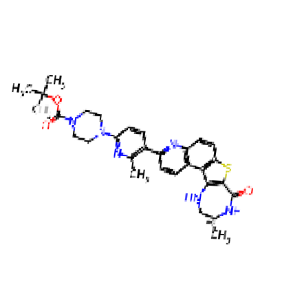 Cc1nc(N2CCN(C(=O)OC(C)(C)C)CC2)ccc1-c1ccc2c(ccc3sc4c(c32)NC[C@@H](C)NC4=O)n1